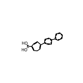 OB(O)C1=CCC=C(c2ccc(-c3ccccc3)cc2)C=C1